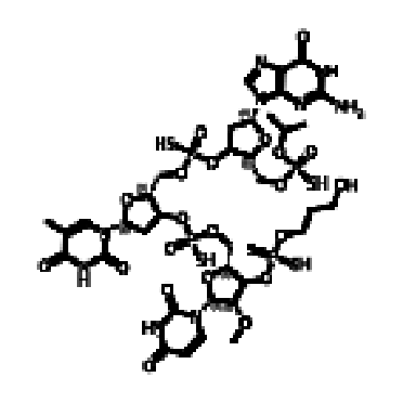 CO[C@H]1C(OP(=S)(S)OCCCO)[C@@H](COP(=O)(S)OC2C[C@H](n3cc(C)c(=O)[nH]c3=O)O[C@@H]2COP(=O)(S)OC2C[C@H](n3cnc4c(=O)[nH]c(N)nc43)O[C@@H]2COP(=O)(S)OC(C)C)O[C@H]1n1ccc(=O)[nH]c1=O